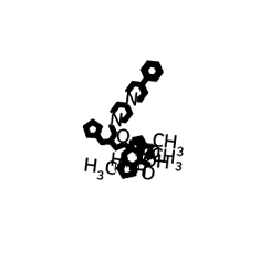 CC(C)C1=CC2CC3(C=O)[C@@H]4CC[C@@H](C)[C@H]4CC2(C2CC(CC4CCCC4)C(CN4CCC(N5CC=C(c6ccccc6)CC5)CC4)O2)[C@]13C(=O)O